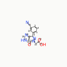 N#Cc1cccc(-c2nn(CC(=O)O)c(=O)c3[nH]cnc23)c1